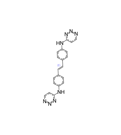 C(=C\c1ccc(Nc2ccnnn2)cc1)/c1ccc(Nc2ccnnn2)cc1